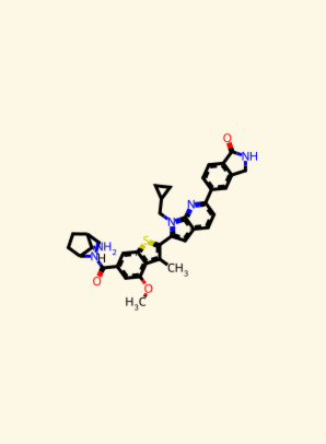 COc1cc(C(=O)N2CC3CCC2[C@@H]3N)cc2sc(-c3cc4ccc(-c5ccc6c(c5)CNC6=O)nc4n3CC3CC3)c(C)c12